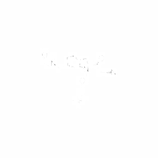 C[Si](C)(C)CCOCn1c(C(=O)CC#N)cc2ccc(CN3CCOCC3)cc21